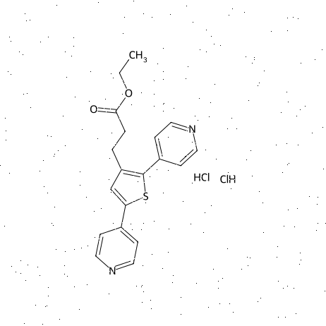 CCOC(=O)CCc1cc(-c2ccncc2)sc1-c1ccncc1.Cl.Cl